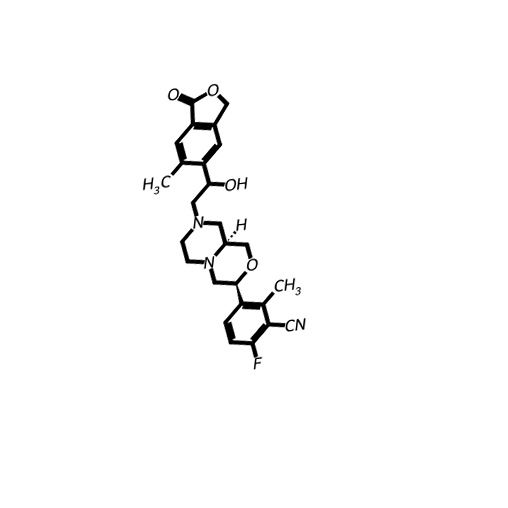 Cc1cc2c(cc1C(O)CN1CCN3C[C@H](c4ccc(F)c(C#N)c4C)OC[C@@H]3C1)COC2=O